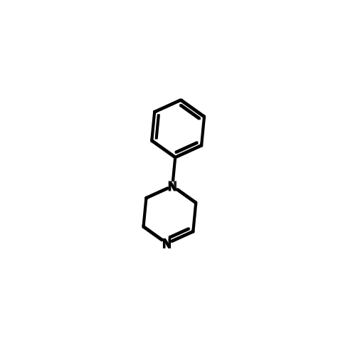 C1=NCCN(c2ccccc2)C1